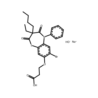 CCCCC1(CC)C(=O)Sc2cc(OCCC(=O)O)c(Br)cc2N(c2ccccc2)C1=O.[Na+].[OH-]